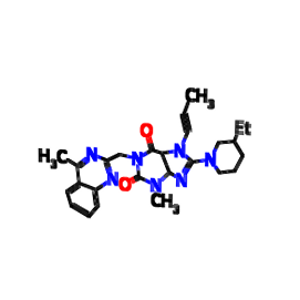 CC#CN1C(N2CCCC(CC)C2)=NC2C1C(=O)N(Cc1nc(C)c3ccccc3n1)C(=O)N2C